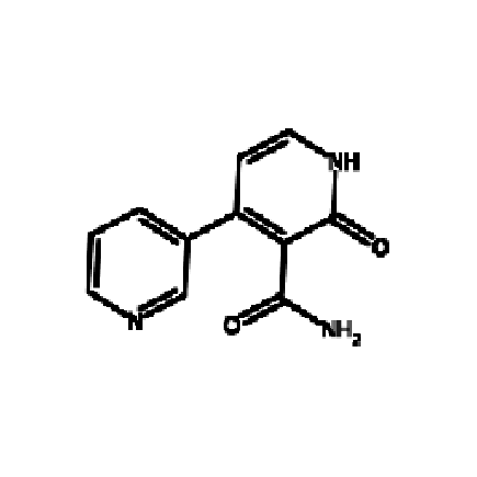 NC(=O)c1c(-c2cccnc2)cc[nH]c1=O